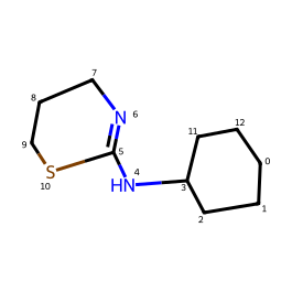 C1CCC(NC2=NCCCS2)CC1